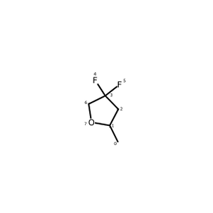 C[C]1CC(F)(F)CO1